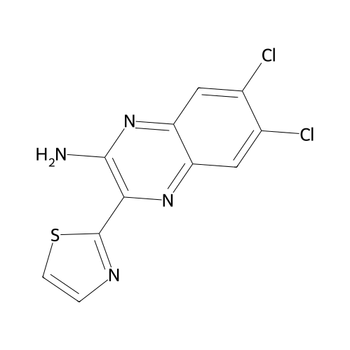 Nc1nc2cc(Cl)c(Cl)cc2nc1-c1nccs1